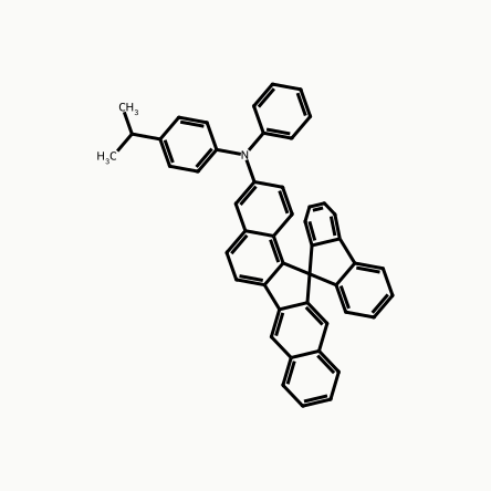 CC(C)c1ccc(N(c2ccccc2)c2ccc3c4c(ccc3c2)-c2cc3ccccc3cc2C42c3ccccc3-c3ccccc32)cc1